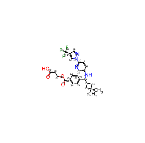 CC1(C)CC(C(Nc2ccc(-n3cc(C(F)(F)F)cn3)nc2)c2ccc(C(=O)OCCC(=O)O)cc2)C1